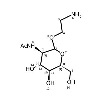 CC(=O)N[C@H]1C(OCCN)O[C@H](CO)[C@@H](O)[C@@H]1O